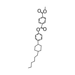 CCCCCCC1CCC(c2ccc(OC(=O)c3ccc(C(=O)OC)cc3)cc2)CC1